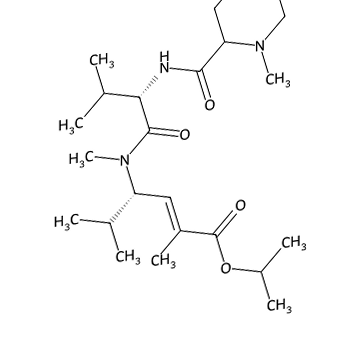 C/C(=C\[C@H](C(C)C)N(C)C(=O)[C@@H](NC(=O)C1CCCCN1C)C(C)C)C(=O)OC(C)C